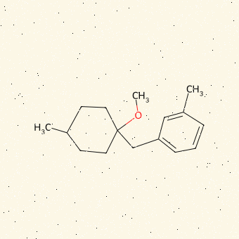 COC1(Cc2cccc(C)c2)CCC(C)CC1